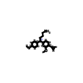 COc1nc(/C(=C\CCN)c2ccc(SC)cc2)ccc1C1CC1